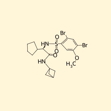 COc1cc(S(=O)(=O)N[C@@H](C(=O)NC23CC(C2)C3)C2CCCC2)c(Br)cc1Br